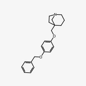 c1ccc(COc2ccc(OCC34CCCN(CC3)C4)cc2)cc1